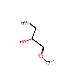 CCCCC(O)COC=O